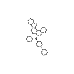 c1ccc(-c2ccc(N(c3ccccc3)c3cc4ccccc4c4c3ccc3c5ccccc5sc34)cc2)cc1